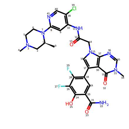 C[C@H]1CN(C)CCN1c1cc(NC(=O)Cn2cc(-c3cc(C(N)=O)c(O)c(F)c3F)c3c(=O)n(C)cnc32)c(Cl)cn1